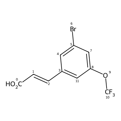 O=C(O)C=Cc1cc(Br)cc(OC(F)(F)F)c1